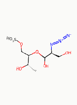 C[C@H](O)C(COS(=O)(=O)O)OC(O)[C@H](CO)N=[N+]=[N-]